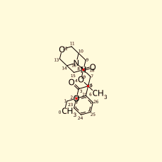 CCOC(=O)C(C)CN1CC2COCC(C1)N2C(=O)OCc1ccccc1